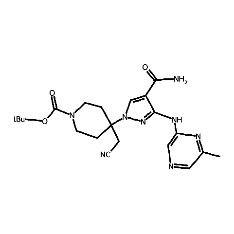 Cc1cncc(Nc2nn(C3(CC#N)CCN(C(=O)OC(C)(C)C)CC3)cc2C(N)=O)n1